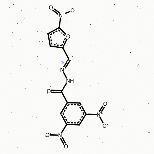 O=C(N/N=C/c1ccc([N+](=O)[O-])o1)c1cc([N+](=O)[O-])cc([N+](=O)[O-])c1